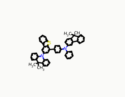 CC1(C)c2ccccc2-c2cc(N(c3ccccc3)c3ccc(-c4cc(N5c6ccccc6C(C)(C)c6ccccc65)cc5c4sc4ccccc45)cc3)ccc21